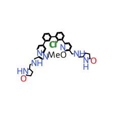 COc1nc(-c2cccc(-c3cccc(-c4ccn5c(CNCC6CCC(=O)N6)cnc5c4)c3Cl)c2Cl)ccc1CNCC1CCC(=O)N1